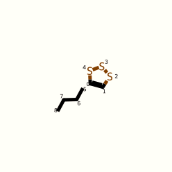 C1=CSSS1.CCCC